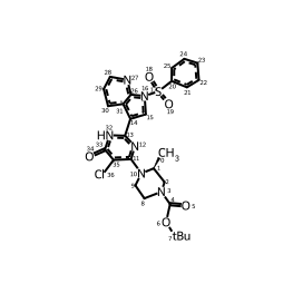 C[C@H]1CN(C(=O)OC(C)(C)C)CCN1c1nc(-c2cn(S(=O)(=O)c3ccccc3)c3ncccc23)[nH]c(=O)c1Cl